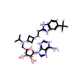 CC(C)N(C[C@H]1O[C@@H](n2cnc3c(N)ncnc32)[C@@H](O)[C@H]1O)[C@H]1C[C@H](CCc2nc3cc(C(C)(C)C)ccc3[nH]2)C1